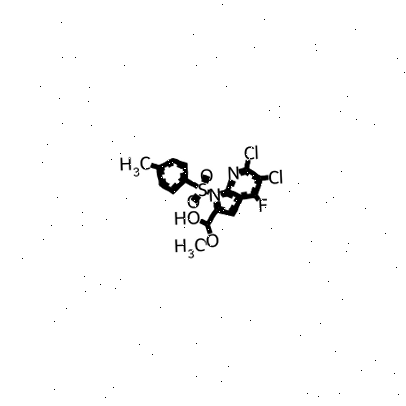 COC(O)c1cc2c(F)c(Cl)c(Cl)nc2n1S(=O)(=O)c1ccc(C)cc1